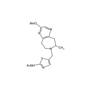 COc1cnc2c(n1)CCN(Cc1cnc(NC(C)=O)s1)C(C)C2